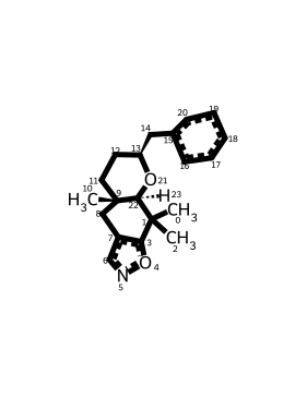 CC1(C)c2oncc2C[C@]2(C)CC[C@@H](Cc3ccccc3)O[C@@H]12